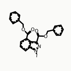 O=C(OCc1ccccc1)c1cccc2c1c(C(=O)OCc1ccccc1)nn2I